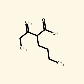 C=C(CC)C(CCCC)C(=O)O